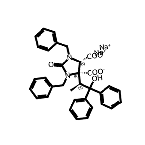 C[C@H](C(O)(c1ccccc1)c1ccccc1)[C@]1(C(=O)[O-])[C@@H](C(=O)[O-])N(Cc2ccccc2)C(=O)N1Cc1ccccc1.[Na+].[Na+]